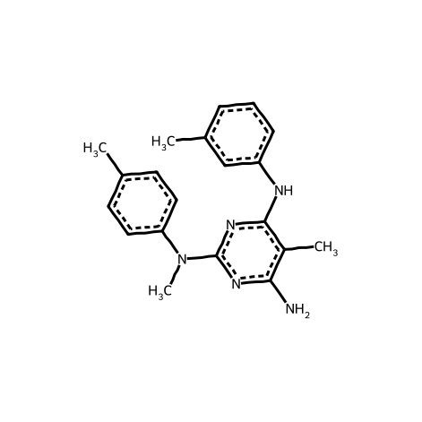 Cc1ccc(N(C)c2nc(N)c(C)c(Nc3cccc(C)c3)n2)cc1